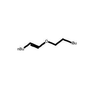 CCCCC=COC[CH]C(C)CC